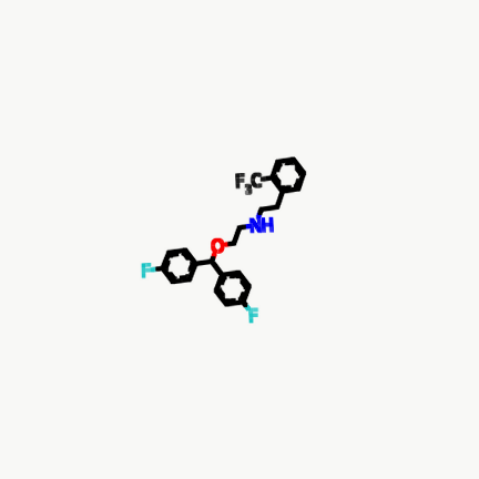 Fc1ccc(C(OCCNCCc2ccccc2C(F)(F)F)c2ccc(F)cc2)cc1